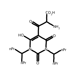 CCCC(CCC)n1c(O)c(C(=O)C(N)C(=O)O)c(=O)n(C(CCC)CCC)c1=O